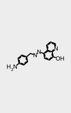 Nc1ccc(CN=Nc2ccc(O)c3ncccc23)cc1